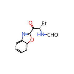 CC[C@H](NC=O)C(=O)c1nc2ccccc2o1